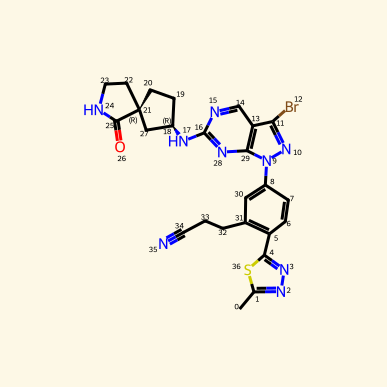 Cc1nnc(-c2ccc(-n3nc(Br)c4cnc(N[C@@H]5CC[C@@]6(CCNC6=O)C5)nc43)cc2CCC#N)s1